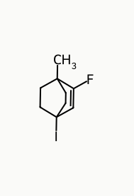 CC12CCC(I)(C=C1F)CC2